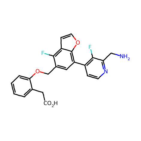 NCc1nccc(-c2cc(COc3ccccc3CC(=O)O)c(F)c3ccoc23)c1F